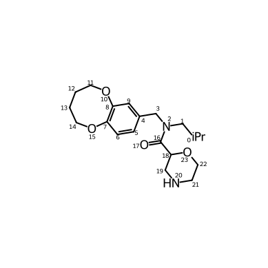 CC(C)CN(Cc1ccc2c(c1)OCCCCO2)C(=O)C1CNCCO1